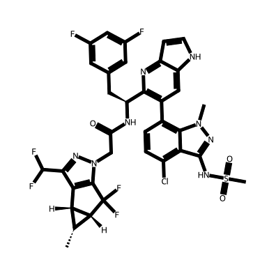 C[C@@H]1[C@@H]2c3c(C(F)F)nn(CC(=O)N[C@@H](Cc4cc(F)cc(F)c4)c4nc5cc[nH]c5cc4-c4ccc(Cl)c5c(NS(C)(=O)=O)nn(C)c45)c3C(F)(F)[C@H]12